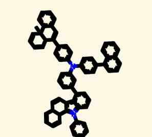 CC12C=CC=CC1C(c1ccc(N(c3ccc(-c4cccc5ccccc45)cc3)c3cccc(-c4cccc5c4c4c(n5-c5ccccc5)C5C=CC=CC5C=C4)c3)cc1)=Cc1ccccc12